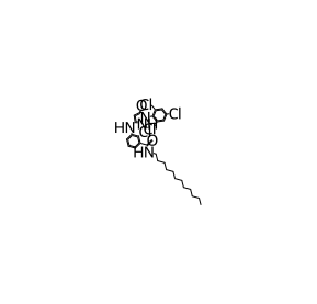 CCCCCCCCCCCCNC(=O)c1cccc(Nc2cc(=O)n(-c3c(Cl)cc(Cl)cc3Cl)[nH]2)c1Cl